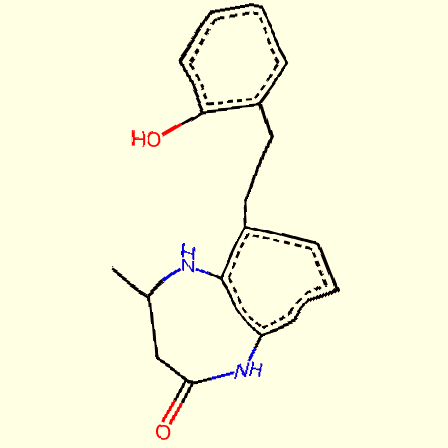 CC1CC(=O)Nc2cccc(CCc3ccccc3O)c2N1